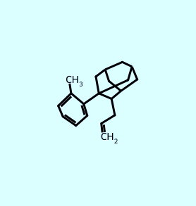 C=CCC1C2CC3CC(C2)CC1(c1ccccc1C)C3